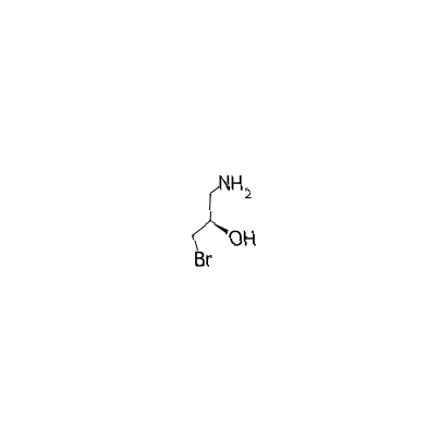 NC[C@@H](O)CBr